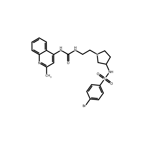 Cc1cc(NC(=O)NCCN2CCC(NS(=O)(=O)c3ccc(Br)cc3)C2)c2ccccc2n1